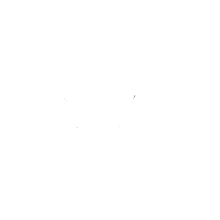 NOP(=O)(O)OC1=C(O)[C@@H]([C@@H](O)CO)OC1=O